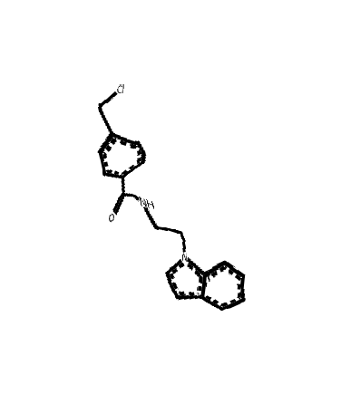 O=C(NCCn1ccc2ccccc21)c1ccc(CCl)cc1